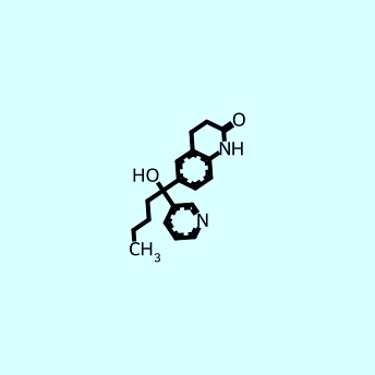 CCCCC(O)(c1cccnc1)c1ccc2c(c1)CCC(=O)N2